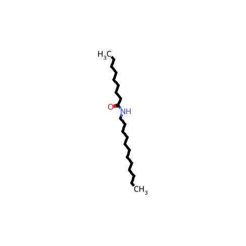 CCCCCCCCCCCCNC(=O)CCCCCCCC